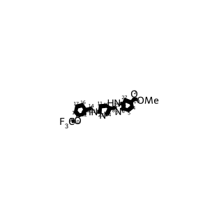 COC(=O)c1ccc2nc(-c3ccc(NCc4cccc(OC(F)(F)F)c4)nc3)[nH]c2c1